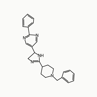 c1ccc(CN2CCC(C3=NCC(c4cnc(-c5ccccc5)nc4)N3)CC2)cc1